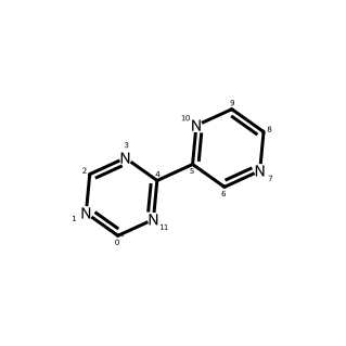 [c]1ncnc(-c2cnccn2)n1